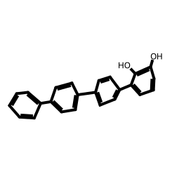 Oc1cccc(-c2ccc(-c3ccc(-c4ccccc4)cc3)cc2)c1O